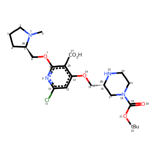 CN1CCC[C@@H]1COc1nc(Cl)cc(OC[C@H]2CN(C(=O)OC(C)(C)C)CCN2)c1C(=O)O